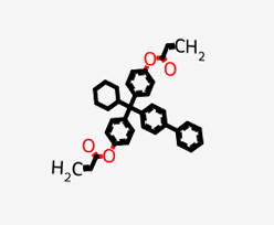 C=CC(=O)Oc1ccc(C(c2ccc(OC(=O)C=C)cc2)(c2ccc(-c3ccccc3)cc2)C2CCCCC2)cc1